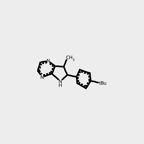 CC1c2nccnc2NC1c1ccc(C(C)(C)C)cc1